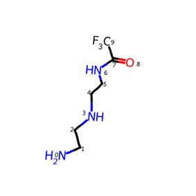 NCCNCCNC(=O)C(F)(F)F